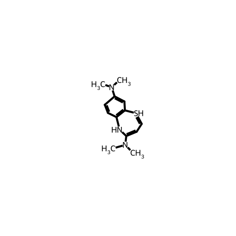 CN(C)C1=CC=[SH]c2cc(N(C)C)ccc2N1